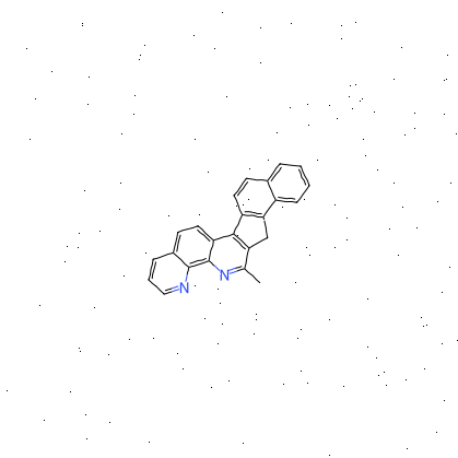 Cc1nc2c(ccc3cccnc32)c2c1Cc1c-2ccc2ccccc12